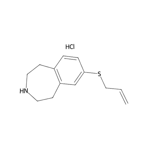 C=CCSc1ccc2c(c1)CCNCC2.Cl